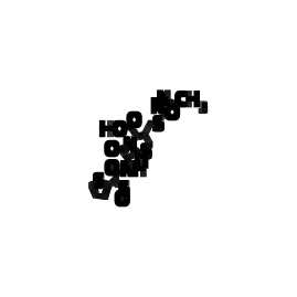 Cc1nnc(SCC2=C(C(=O)O)N3C(=O)C(NC(=O)C(=S=O)c4cccs4)[C@H]3SC2)o1